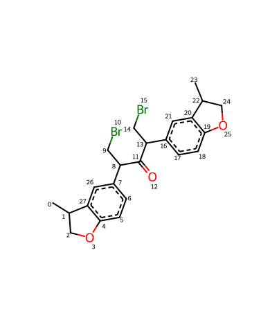 CC1COc2ccc(C(CBr)C(=O)C(CBr)c3ccc4c(c3)C(C)CO4)cc21